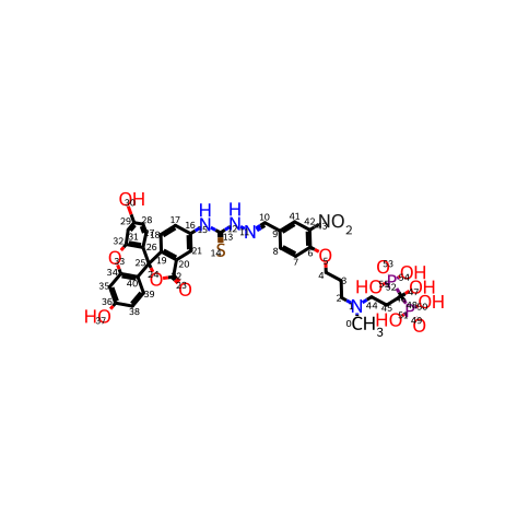 CN(CCCOc1ccc(/C=N/NC(=S)Nc2ccc3c(c2)C(=O)OC32c3ccc(O)cc3Oc3cc(O)ccc32)cc1[N+](=O)[O-])CCC(O)(P(=O)(O)O)P(=O)(O)O